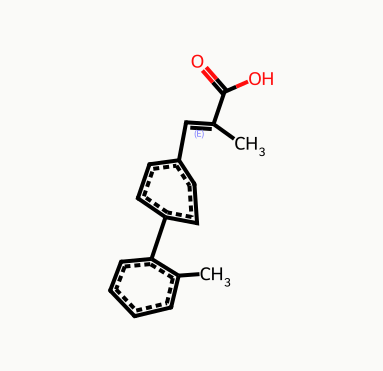 C/C(=C\c1ccc(-c2ccccc2C)cc1)C(=O)O